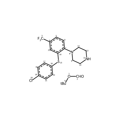 CC(C)(C)OC=O.FC(F)(F)c1ccc(N2CCNCC2)c(Sc2ccc(Cl)cc2)c1